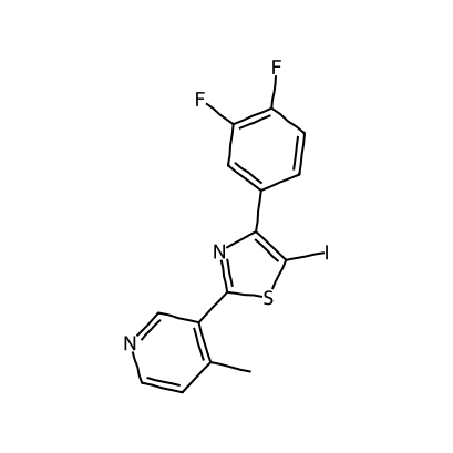 Cc1ccncc1-c1nc(-c2ccc(F)c(F)c2)c(I)s1